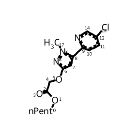 CCCCCOC(=O)COc1cc(-c2ccc(Cl)cn2)n(C)n1